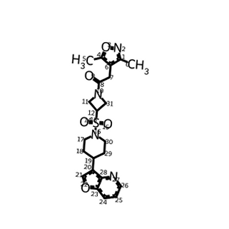 Cc1noc(C)c1CC(=O)N1CC(S(=O)(=O)N2CCC(c3coc4cccnc34)CC2)C1